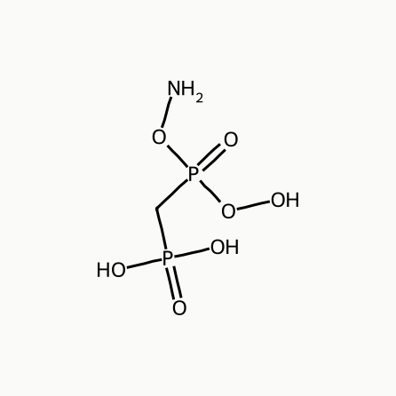 NOP(=O)(CP(=O)(O)O)OO